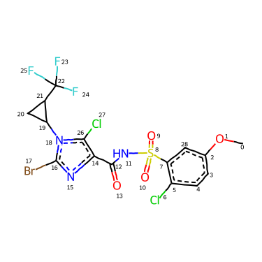 COc1ccc(Cl)c(S(=O)(=O)NC(=O)c2nc(Br)n(C3CC3C(F)(F)F)c2Cl)c1